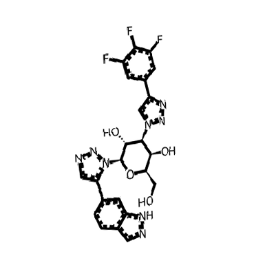 OC[C@H]1O[C@@H](n2nncc2-c2ccc3cn[nH]c3c2)[C@H](O)[C@@H](n2cc(-c3cc(F)c(F)c(F)c3)nn2)[C@H]1O